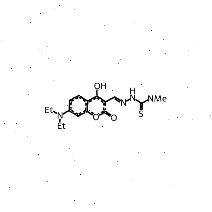 CCN(CC)c1ccc2c(O)c(C=NNC(=S)NC)c(=O)oc2c1